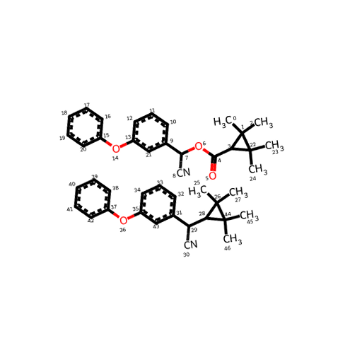 CC1(C)C(C(=O)OC(C#N)c2cccc(Oc3ccccc3)c2)C1(C)C.CC1(C)C(C(C#N)c2cccc(Oc3ccccc3)c2)C1(C)C